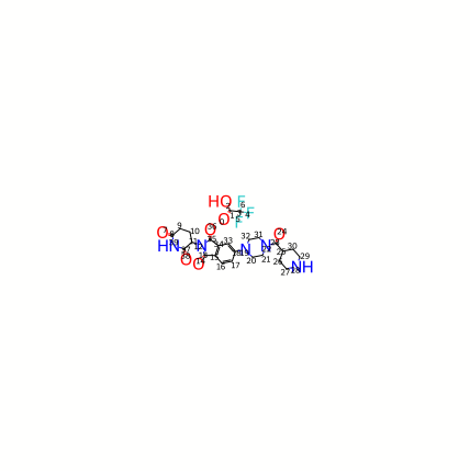 O=C(O)C(F)(F)F.O=C1CCC(N2C(=O)c3ccc(N4CCN(C(=O)C5CCNCC5)CC4)cc3C2=O)C(=O)N1